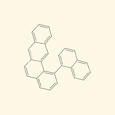 c1ccc2cc3c(ccc4cccc(-c5cccc6ccccc56)c43)cc2c1